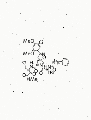 CNC(=O)C(=O)[C@H](CC1CC1)NC(=O)[C@@H]1C[C@]2(CC(c3cc(Cl)c(OC)cc3OC)=NO2)CN1C(=O)[C@@H](NC(=O)[C@@H]1C[C@H]1c1ccccc1)C(C)(C)C